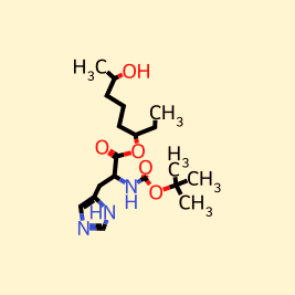 CCC(CCCC(C)O)OC(=O)C(Cc1cnc[nH]1)NC(=O)OC(C)(C)C